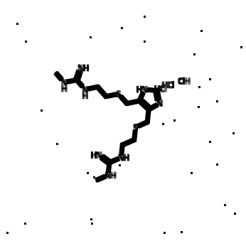 CNC(=N)NCCSCc1nc[nH]c1CSCCNC(=N)NC.Cl.Cl.Cl